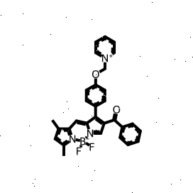 Cc1cc(C)n2c1C=C1C(c3ccc(OC[n+]4ccccc4)cc3)=C(C(=O)c3ccccc3)C=[N+]1[B-]2(F)F